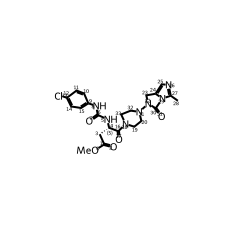 COC(=O)C[C@H](NC(=O)Nc1ccc(Cl)cc1)C(=O)N1CCN(N2Cc3cnc(C)n3C2=O)CC1